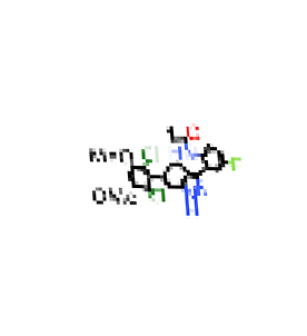 C=CC(=O)Nc1ccc(F)cc1-c1n[nH]c2c1CCC(c1c(Cl)c(OC)cc(OC)c1Cl)=C2